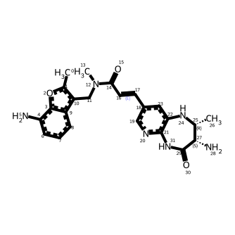 Cc1oc2c(N)cccc2c1CN(C)C(=O)/C=C/c1cnc2c(c1)N[C@H](C)[C@H](N)C(=O)N2